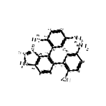 Nc1ccc(O)c(-c2ccc3[nH]nnc3c2-c2cc(N)ccc2O)c1